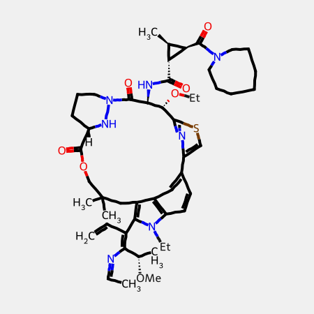 C=C/C(=C(\N=C/C)[C@H](C)OC)c1c2c3cc(ccc3n1CC)-c1csc(n1)[C@@H](OCC)[C@H](NC(=O)[C@@H]1[C@@H](C)[C@H]1C(=O)N1CCCCCCC1)C(=O)N1CCC[C@H](N1)C(=O)OCC(C)(C)C2